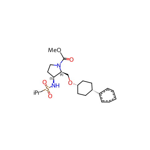 COC(=O)N1CC[C@H](NS(=O)(=O)C(C)C)[C@@H]1CO[C@H]1CC[C@@H](c2ccccc2)CC1